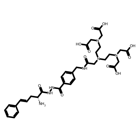 N[C@H](CC=Cc1ccccc1)C(=O)NNC(=O)c1ccc(CNC(=O)CN(CCN(CC(=O)O)CC(=O)O)CCN(CC(=O)O)CC(=O)O)cc1